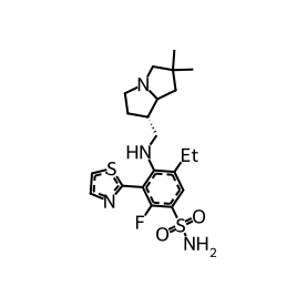 CCc1cc(S(N)(=O)=O)c(F)c(-c2nccs2)c1NC[C@@H]1CCN2CC(C)(C)CC12